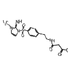 CC(=O)CC(=O)NCCc1ccc(S(=O)(=O)n2ccn(C)c2=N)cc1